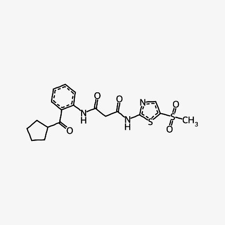 CS(=O)(=O)c1cnc(NC(=O)CC(=O)Nc2ccccc2C(=O)C2CCCC2)s1